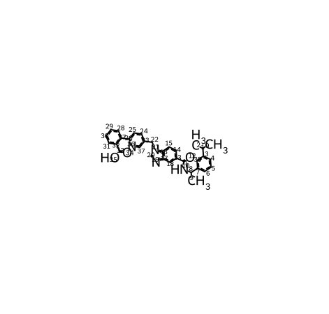 CC(C)c1cccc(C(C)NC(=O)c2ccc3c(c2)ncn3Cc2ccc(-c3ccccc3C(=O)O)nc2)c1